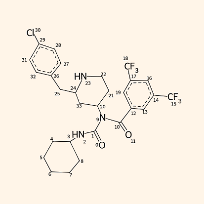 O=C(NC1CCCCC1)N(C(=O)c1cc(C(F)(F)F)cc(C(F)(F)F)c1)C1CCNC(Cc2ccc(Cl)cc2)C1